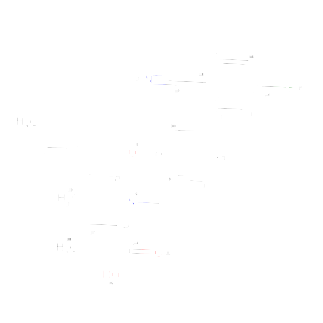 CCCCC(=O)N(Cc1ccc(-c2cc(F)ccc2C#N)cc1)C(C(=O)O)C(C)C